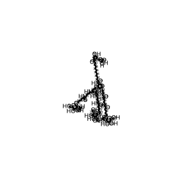 CC(=O)N[C@H]1[C@H](OCCCCC(=O)NCCCNC(=O)CCOC[C@H]2OCC(NC(=O)CCCCCCCCCCC(=O)N3C[C@H](O)C[C@H]3CO[PH](=O)O)[C@@H](OCCC(=O)NCCCNC(=O)CCCCO[C@@H]3O[C@H](CO)[C@H](O)[C@H](O)[C@H]3NC(C)=O)[C@@H]2OCCC(=O)NCCCNC(=O)CCCCO[C@@H]2O[C@H](CO)[C@H](O)[C@H](O)[C@H]2NC(C)=O)O[C@H](CO)[C@H](O)[C@@H]1O